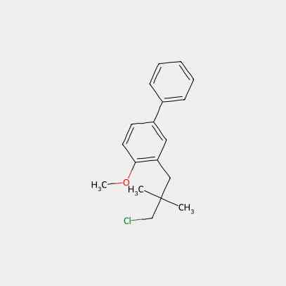 COc1ccc(-c2ccccc2)cc1CC(C)(C)CCl